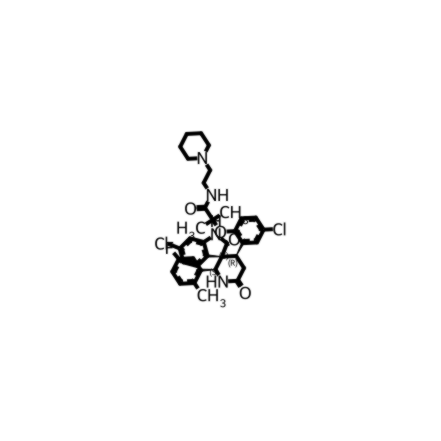 Cc1ccc(F)cc1[C@@H]1NC(=O)C[C@H](c2cc(Cl)ccc2OC(C)(C)C(=O)NCCN2CCCCC2)[C@@]12C(=O)Nc1cc(Cl)ccc12